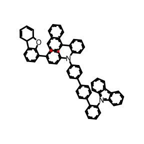 C1=CC2Oc3c(-c4ccc(N(c5ccc(-c6ccc(-c7ccccc7-n7c8ccccc8c8ccccc87)cc6)cc5)c5ccccc5-c5cccc6ccccc56)cc4)cccc3C2C=C1